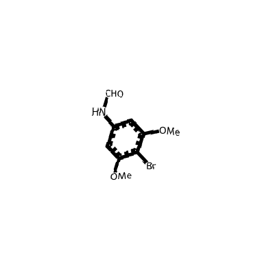 COc1cc(NC=O)cc(OC)c1Br